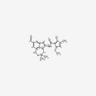 CCn1nc(C)c(Cl)c1C(=O)Nc1nc2cc(C=O)cc3c2n1CC(C)(C)CO3